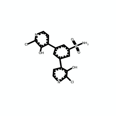 NS(=O)(=O)c1cc(-c2ccnc(Cl)c2O)cc(-c2ccnc(Cl)c2O)c1